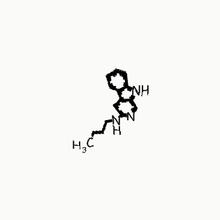 CCCCNc1cc2c(cn1)[nH]c1ccccc12